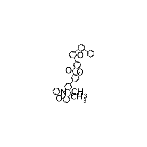 CC1(C)c2cc(-c3ccc4oc5ccc(-c6cccc7c6oc6c(-c8ccccc8)cccc67)cc5c(=O)c4c3)ccc2N2c3ccccc3Oc3cccc1c32